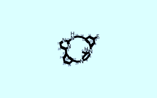 C[C@H]1CN2CCN1c1cc(F)cc(c1)CCNc1nccc(n1)-c1cccc(c1)C2